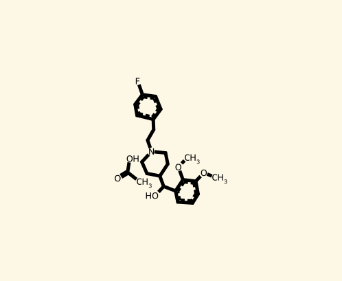 CC(=O)O.COc1cccc(C(O)C2CCN(CCc3ccc(F)cc3)CC2)c1OC